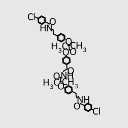 CC(C)(Oc1ccc(CCNC(=O)c2ccc(Cl)cc2)cc1)C(=O)NCC(=O)c1ccc(OC(=O)C(C)(C)Oc2ccc(CCNC(=O)c3ccc(Cl)cc3)cc2)cc1